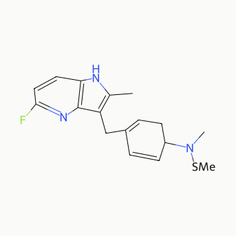 CSN(C)C1C=CC(Cc2c(C)[nH]c3ccc(F)nc23)=CC1